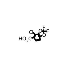 O=C(O)c1ccc2c(c1Cl)OC(F)(F)O2